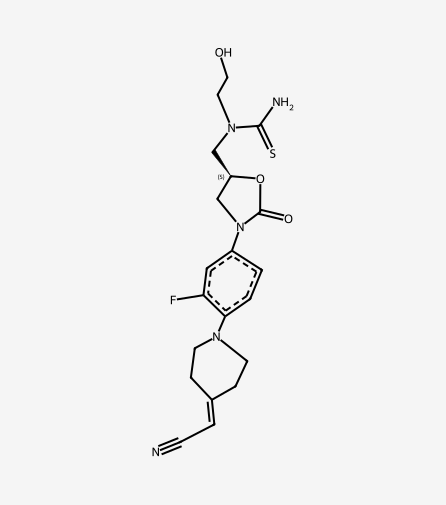 N#CC=C1CCN(c2ccc(N3C[C@@H](CN(CCO)C(N)=S)OC3=O)cc2F)CC1